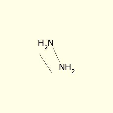 CC.NN